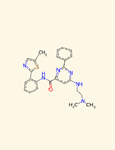 Cc1cnc(-c2ccccc2NC(=O)c2cc(NCCN(C)C)nc(-c3ccccc3)n2)s1